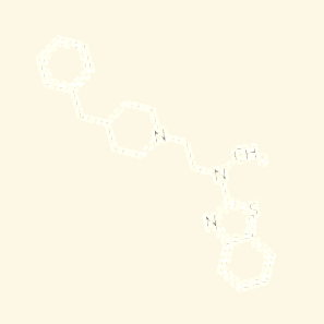 CN(CCN1CCC(Cc2ccccc2)CC1)c1nc2ccccc2s1